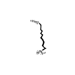 [2H]NCCCCCCCCCCCCCCCC